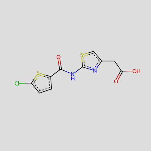 O=C(O)Cc1csc(NC(=O)c2ccc(Cl)s2)n1